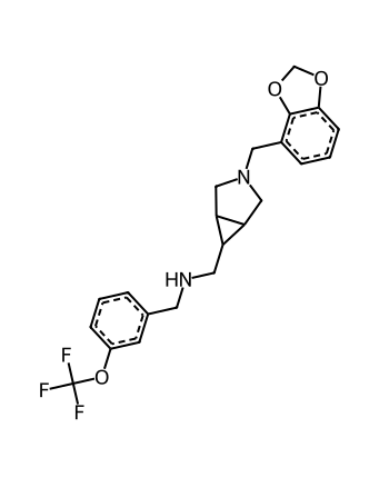 FC(F)(F)Oc1cccc(CNCC2C3CN(Cc4cccc5c4OCO5)CC23)c1